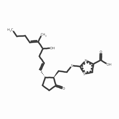 CCCC=C(C)C(O)CC=C[C@H]1CCC(=O)[C@@H]1CCSc1nc(C(=O)O)cs1